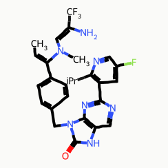 C/C=C(/c1ccc(Cn2c(=O)[nH]c3cnc(-c4cc(F)cnc4C(C)C)nc32)cc1)N(C)/C=C(\N)C(F)(F)F